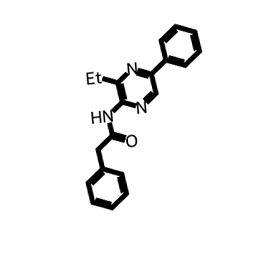 CCc1nc(-c2ccccc2)cnc1NC(=O)Cc1ccccc1